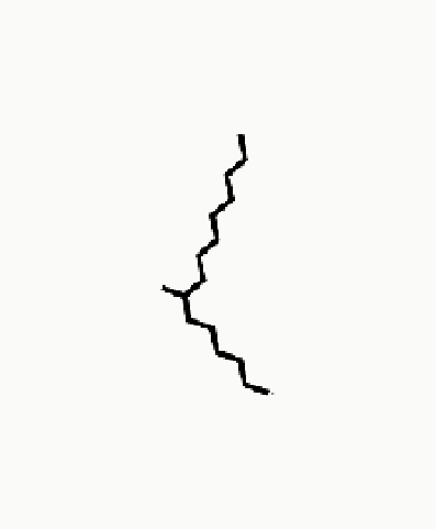 [CH2]CCCCCC(C)CCCCCCCC